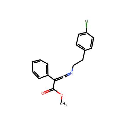 COC(=O)C(=C=NCCc1ccc(Cl)cc1)c1ccccc1